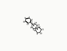 c1ccc(N2CC[N+]3(CCCCC3)CC2)cc1